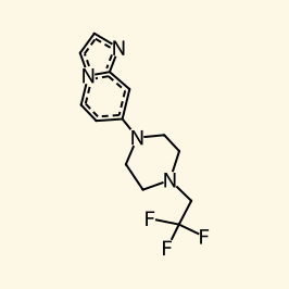 FC(F)(F)CN1CCN(c2ccn3ccnc3c2)CC1